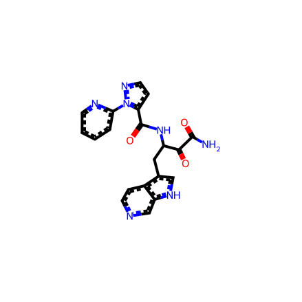 NC(=O)C(=O)C(Cc1c[nH]c2cnccc12)NC(=O)c1ccnn1-c1ccccn1